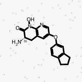 N[C@H]1Cc2cc(Oc3ccc4c(c3)CCC4)cnc2N(O)C1=O